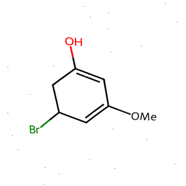 COC1=CC(Br)CC(O)=C1